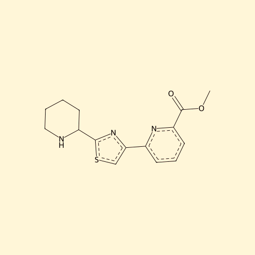 COC(=O)c1cccc(-c2csc(C3CCCCN3)n2)n1